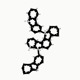 c1ccc2c(c1)sc1ccc(-n3c4ccc5c6ccccc6n(-c6ccc7sc8ccccc8c7c6)c5c4c4cccnc43)cc12